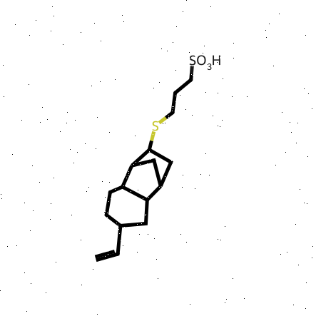 C=CC1CCC2C(C1)C1CC(SCCCS(=O)(=O)O)C2C1